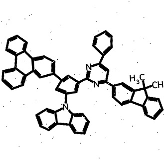 CC1(C)c2ccccc2-c2ccc(-c3cc(-c4ccccc4)nc(-c4cc(-c5ccc6c7ccccc7c7ccccc7c6c5)cc(-n5c6ccccc6c6ccccc65)c4)n3)cc21